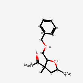 COC(=O)C1(C)CC(OC(C)=O)OC1COCc1ccccc1